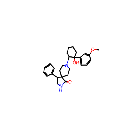 COc1cccc(C2(O)CCCCC2N2CCC3(CC2)C(=O)NCC3c2ccccc2)c1